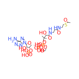 CC(=O)SCCNC(=O)CCNC(=O)C(O)C(C)(C)COP(=O)(O)OP(=O)(O)OC[C@H]1O[C@@H](n2cnc3c(N)ncnc32)[C@H](O)[C@@H]1OP(=O)(O)O.CC=O